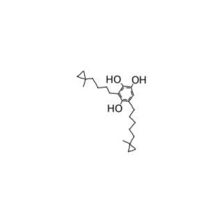 CC1(CCCCCc2cc(O)c(O)c(CCCCC3(C)CC3)c2O)CC1